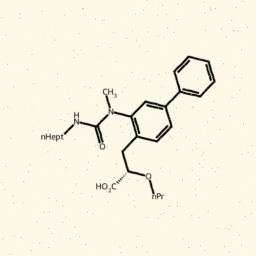 CCCCCCCNC(=O)N(C)c1cc(-c2ccccc2)ccc1C[C@H](OCCC)C(=O)O